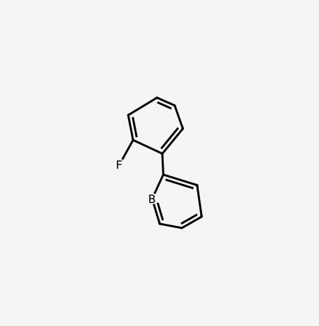 Fc1ccccc1-c1bcccc1